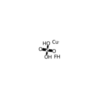 F.O=S(=O)(O)O.[Cu]